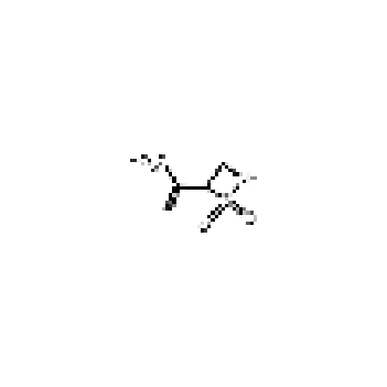 C=C(C(=O)O)C1CNS1(=O)=O